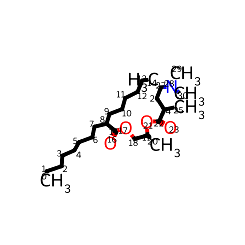 CCCCCCCCC(CCCCCC)C(=O)OCC(C)OC(=O)C(C)CCN(C)C